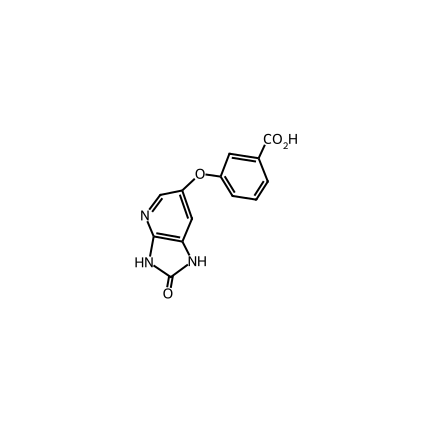 O=C(O)c1cccc(Oc2cnc3[nH]c(=O)[nH]c3c2)c1